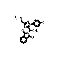 CSCc1nc(C(C)N2C(=O)c3ccccc3C2=O)n(-c2ccc(Cl)cn2)n1